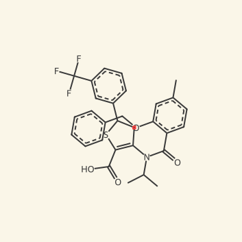 Cc1ccc(C(=O)N(C2=C(C(=O)O)SC(c3cccc(C(F)(F)F)c3)C2)C(C)C)c(OCc2ccccc2)c1